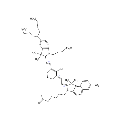 CC1(C)/C(=C\C=C2/CCCC(/C=C/C3N(CCCS(=O)(=O)O)c4ccc(N(CCCS(=O)(=O)O)CCCS(=O)(=O)O)cc4C3(C)C)=C2Cl)N(CCCCCC(=O)I)c2ccc3cc(S(=O)(=O)O)ccc3c21